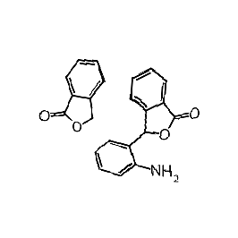 Nc1ccccc1C1OC(=O)c2ccccc21.O=C1OCc2ccccc21